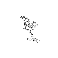 C[Si](C)(C)CCOCn1cc(-c2ccccc2)c2c(Oc3ccc([N+](=O)[O-])cc3F)ncnc21